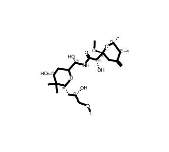 C=C1C[C@](OC)([C@H](O)C(=O)N[C@@H](O)C2C[C@@H](O)C(C)(C)[C@@H](C[C@H](O)COI)O2)O[C@H](C)[C@@H]1C